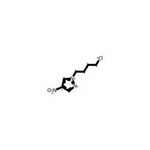 O=[N+]([O-])c1cnn(CCCCCl)c1